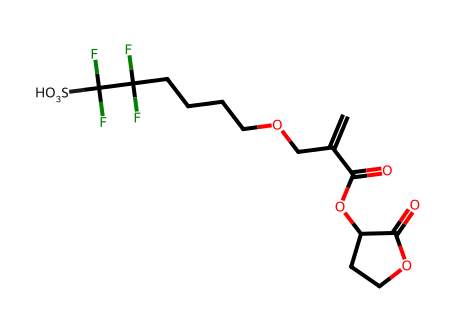 C=C(COCCCCC(F)(F)C(F)(F)S(=O)(=O)O)C(=O)OC1CCOC1=O